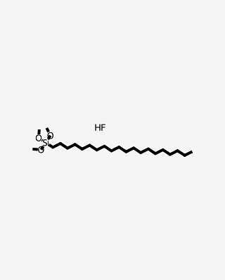 CCCCCCCCCCCCCCCCCCCC[Si](OC)(OC)OC.F